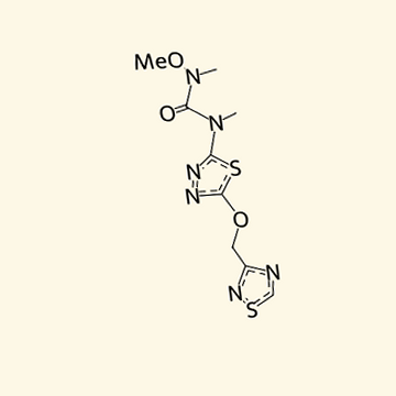 CON(C)C(=O)N(C)c1nnc(OCc2ncsn2)s1